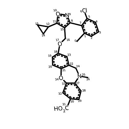 Cc1cccc(Cl)c1-c1noc(C2CC2)c1COc1ccc2c(c1)CN(C)c1ccc(C(=O)O)cc1O2